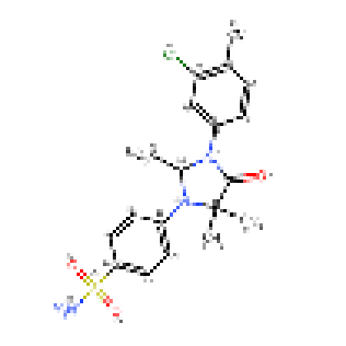 CC1(C)C(=O)N(c2ccc(C#N)c(Cl)c2)C(S(=O)(=O)O)N1c1ccc(S(N)(=O)=O)cc1